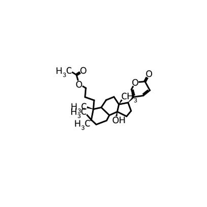 CC(=O)OCCC[C@]1(C)C2CC[C@]3(C)[C@@H](c4ccc(=O)oc4)CC[C@]3(O)C2CCC1(C)C